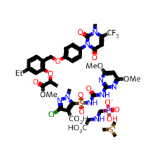 CCc1ccc(COc2ccc(-n3c(=O)cc(C(F)(F)F)n(C)c3=O)cc2)c(OC(C)C(=O)OC)c1.COc1cc(OC)nc(NC(=O)NS(=O)(=O)c2c(C(=O)O)c(Cl)nn2C)n1.C[S+](C)C.O=C(O)CNCP(=O)([O-])O